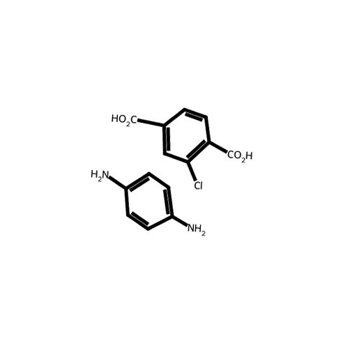 Nc1ccc(N)cc1.O=C(O)c1ccc(C(=O)O)c(Cl)c1